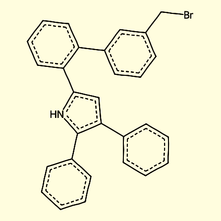 BrCc1cccc(-c2ccccc2-c2cc(-c3ccccc3)c(-c3ccccc3)[nH]2)c1